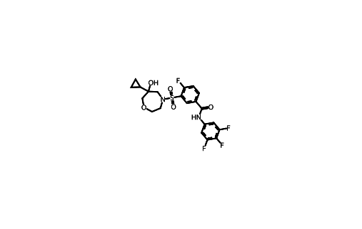 O=C(Nc1cc(F)c(F)c(F)c1)c1ccc(F)c(S(=O)(=O)N2CCOCC(O)(C3CC3)C2)c1